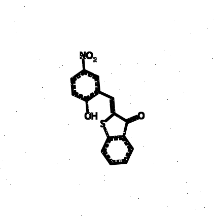 O=C1/C(=C/c2cc([N+](=O)[O-])ccc2O)Sc2ccccc21